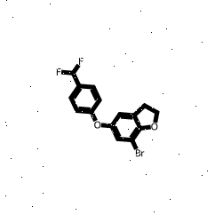 FC(F)c1ccc(Oc2cc(Br)c3c(c2)CCO3)cc1